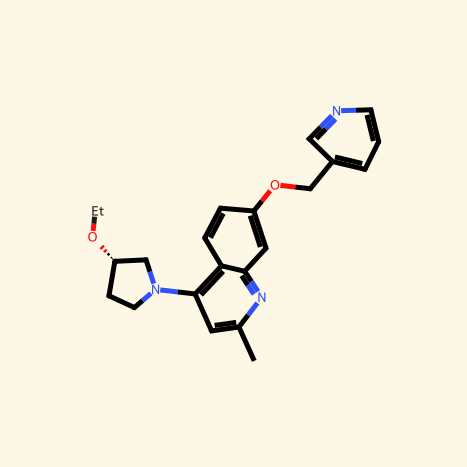 CCO[C@H]1CCN(c2cc(C)nc3cc(OCc4cccnc4)ccc23)C1